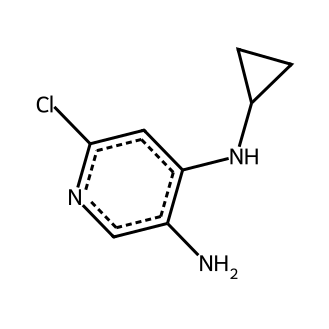 Nc1cnc(Cl)cc1NC1CC1